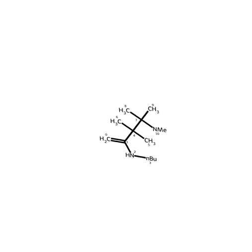 C=C(NCCCC)C(C)(C)C(C)(C)NC